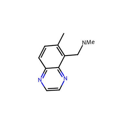 CNCc1c(C)ccc2nccnc12